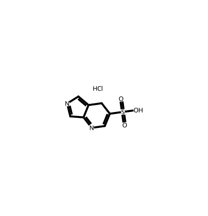 Cl.O=S(=O)(O)C1=CN=C2C=NC=C2C1